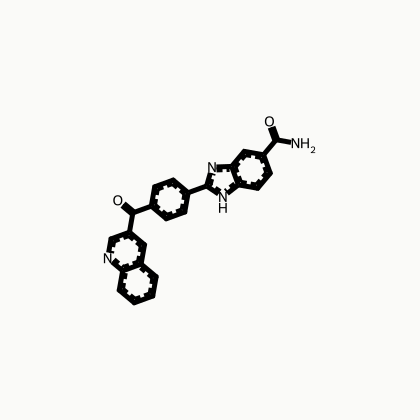 NC(=O)c1ccc2[nH]c(-c3ccc(C(=O)c4cnc5ccccc5c4)cc3)nc2c1